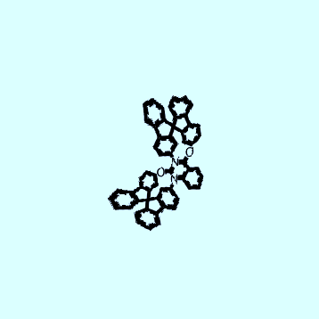 O=c1c2ccccc2n(-c2ccc3c(c2)C2(c4ccccc4-c4ccccc42)c2ccccc2-3)c(=O)n1-c1ccc2c(c1)C1(c3ccccc3-c3ccccc31)c1ccccc1-2